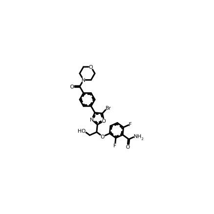 NC(=O)c1c(F)ccc(OC(CO)c2nc(-c3ccc(C(=O)N4CCOCC4)cc3)c(Br)o2)c1F